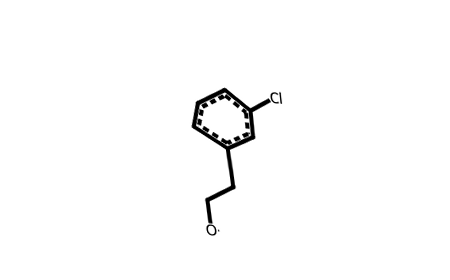 [O]CCc1cccc(Cl)c1